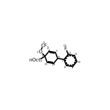 CCCCCCCCC1(OC(F)(F)F)C=CC(c2ccccc2F)C=C1